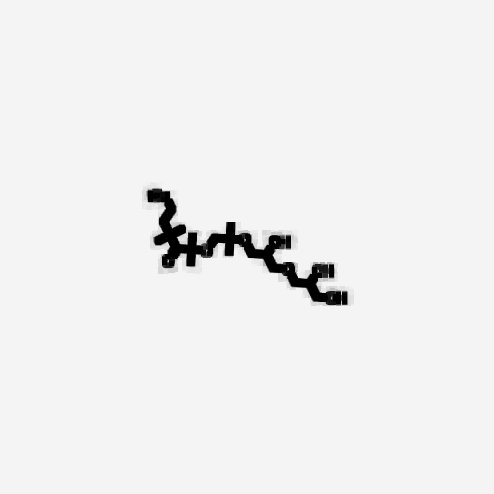 CC(C)(C)CCC(C)(C)C(=O)C(C)(C)OCC(C)(C)OCC(O)COCC(O)CO